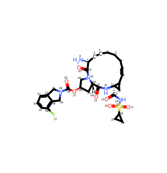 N[C@H]1CCCCC/C=C\C2C[C@@]2(C(=O)NS(=O)(=O)C2CC2)NC(=O)[C@@H]2C[C@@H](OC(=O)N3Cc4cccc(F)c4C3)CN2C1=O